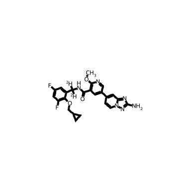 [2H]C([2H])(NC(=O)c1cc(-c2ccn3nc(N)nc3c2)cnc1OC)c1cc(F)cc(F)c1OCC1CC1